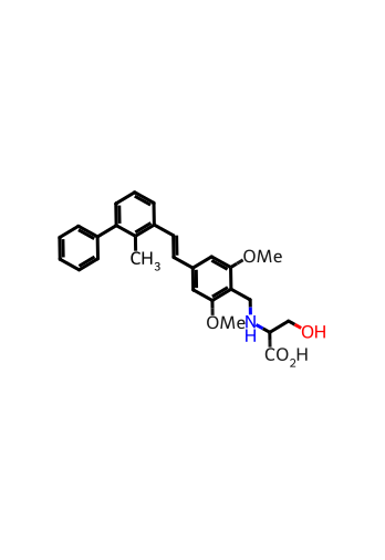 COc1cc(/C=C/c2cccc(-c3ccccc3)c2C)cc(OC)c1CNC(CO)C(=O)O